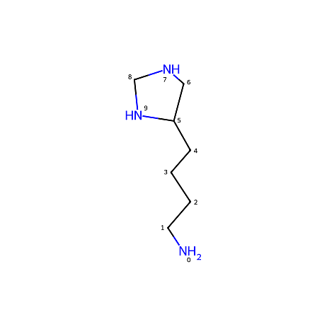 NCCCCC1CNCN1